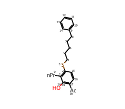 CCCc1c(SCCCCCc2ccccc2)ccc(C(C)=O)c1O